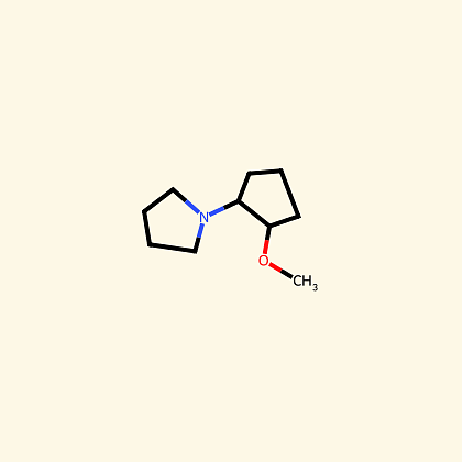 COC1CCCC1N1CCCC1